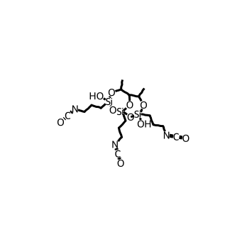 CC1O[Si](O)(CCCN=C=O)O[Si]2(CCCN=C=O)OC1C(C)O[Si](O)(CCCN=C=O)O2